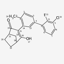 Cc1ccc(-c2cccc(Cl)c2F)cc1C1=C(O)C2CCC(C2)C1=O